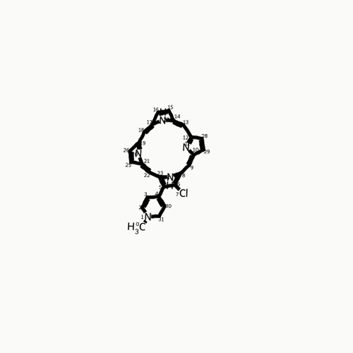 CN1C=CC(c2c(Cl)c3cc4nc(cc5ccc(cc6nc(cc2[nH]3)C=C6)[nH]5)C=C4)=CC1